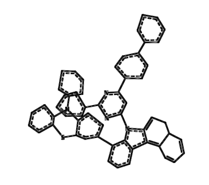 C1=CC2=c3c(n(-c4cc(-c5ccc(-c6ccccc6)cc5)nc(-c5ccccc5)n4)c4c(-c5ccc6c(c5)Sc5ccccc5N6c5ccccc5)cccc34)=CCC2C=C1